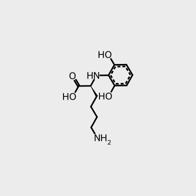 NCCCC[C@H](Nc1c(O)cccc1O)C(=O)O